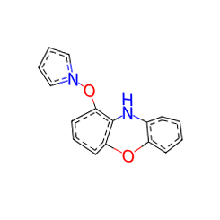 c1ccc2c(c1)Nc1c(cccc1On1cccc1)O2